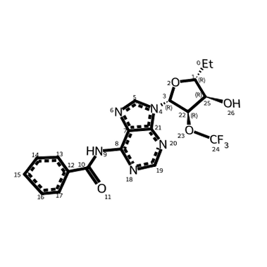 CC[C@H]1O[C@@H](n2cnc3c(NC(=O)c4ccccc4)ncnc32)[C@H](OC(F)(F)F)[C@@H]1O